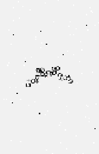 CC1(C)c2ccccc2-c2cc3c(cc21)-c1ccc(-c2cc4c(c5oc6ccccc6c25)-c2ccc5c(c2C4(C)C)C(C)(C)c2cc(-c4ccc6c(c4)C(C)(C)c4cc7c(cc4-6)C(C)(C)c4ccccc4-7)c4c(oc6ccccc64)c2-5)cc1C3(C)C